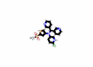 CS(=O)(=O)c1cc(N(c2ccc(Cl)nc2)C(c2cccnc2)c2cccnc2)cs1